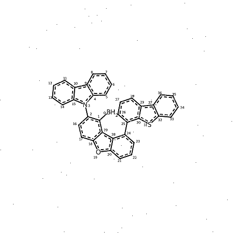 Bc1c(-n2c3ccccc3c3ccccc32)ccc2oc3cccc(-c4cccc5c4sc4ccccc45)c3c12